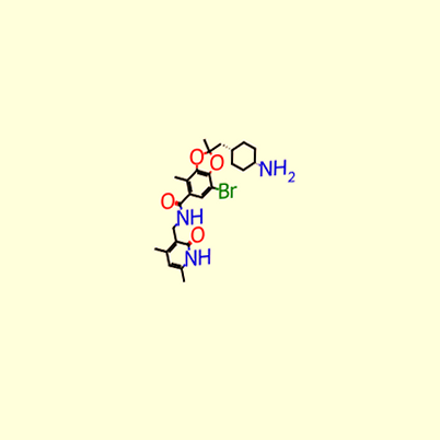 Cc1cc(C)c(CNC(=O)c2cc(Br)c3c(c2C)OC(C)(C[C@H]2CC[C@@H](N)CC2)O3)c(=O)[nH]1